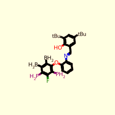 Bc1c(B)c(Oc2ccccc2/N=C/c2cc(C(C)(C)C)cc(C(C)(C)C)c2O)c(P)c(F)c1P